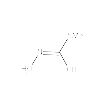 [CH2]S/C(C)=N/O